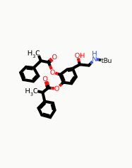 CC(C(=O)Oc1ccc(C(O)CNC(C)(C)C)cc1OC(=O)C(C)c1ccccc1)c1ccccc1